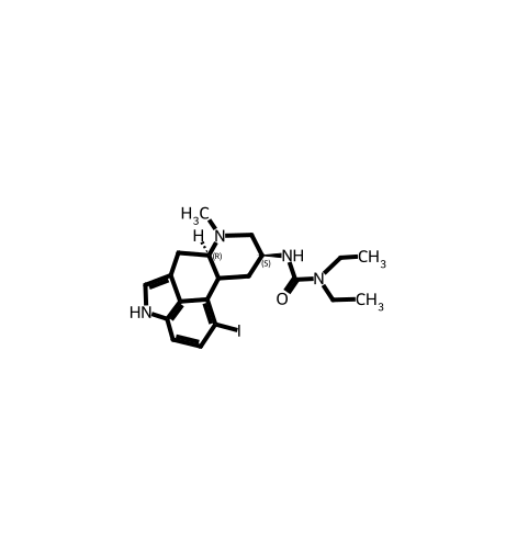 CCN(CC)C(=O)N[C@H]1CC2c3c(I)ccc4[nH]cc(c34)C[C@H]2N(C)C1